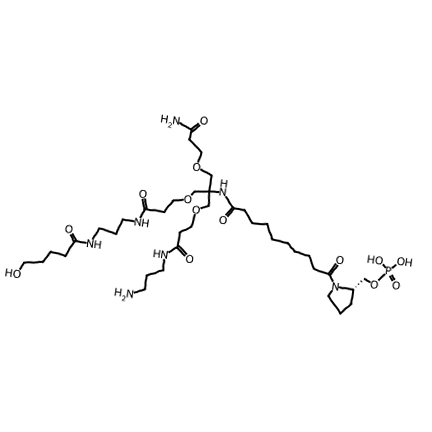 NCCCNC(=O)CCOCC(COCCC(N)=O)(COCCC(=O)NCCCNC(=O)CCCCO)NC(=O)CCCCCCCCC(=O)N1CCC[C@H]1COP(=O)(O)O